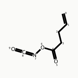 C=CCCC(=O)ON=C=O